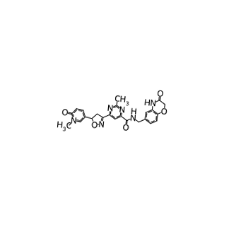 Cc1nc(C(=O)NCc2ccc3c(c2)NC(=O)CO3)cc(C2=NOC(c3ccc(=O)n(C)c3)C2)n1